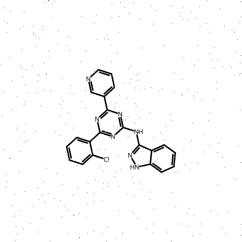 Clc1ccccc1-c1nc(Nc2n[nH]c3ccccc23)nc(-c2cccnc2)n1